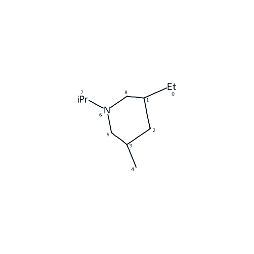 CCC1CC(C)CN(C(C)C)C1